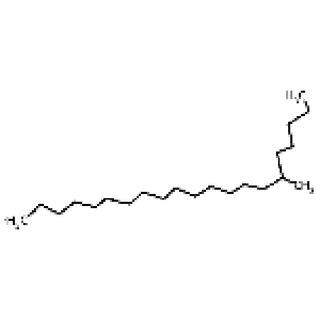 [CH2]CCCCCCCCCCCCCCC(C)CCCCC